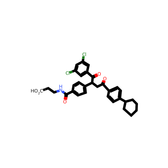 O=C(O)CCNC(=O)c1ccc(C(CC(=O)c2ccc(C3CCCCC3)cc2)C(=O)c2cc(Cl)cc(Cl)c2)cc1